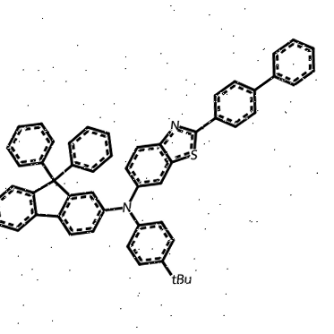 CC(C)(C)c1ccc(N(c2ccc3c(c2)C(c2ccccc2)(c2ccccc2)c2ccccc2-3)c2ccc3nc(-c4ccc(-c5ccccc5)cc4)sc3c2)cc1